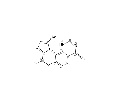 CC(=O)c1ccc(N(C)Cc2ccc3c(=O)nc[nH]c3c2)s1